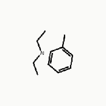 C[CH2][Al][CH2]C.Cc1ccccc1